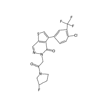 O=C(Cn1ncc2scc(-c3ccc(Cl)c(C(F)(F)F)c3)c2c1=O)N1CCC(F)C1